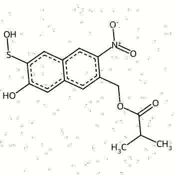 CC(C)C(=O)OCc1cc2cc(O)c(SO)cc2cc1[N+](=O)[O-]